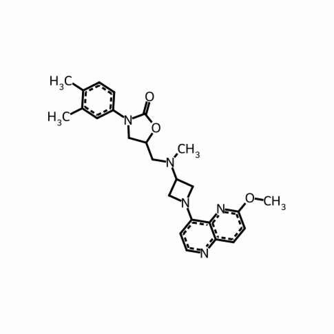 COc1ccc2nccc(N3CC(N(C)CC4CN(c5ccc(C)c(C)c5)C(=O)O4)C3)c2n1